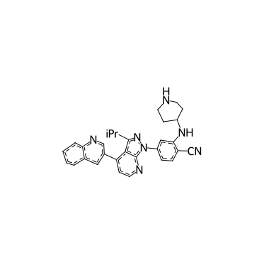 CC(C)c1nn(-c2ccc(C#N)c(NC3CCNCC3)c2)c2nccc(-c3cnc4ccccc4c3)c12